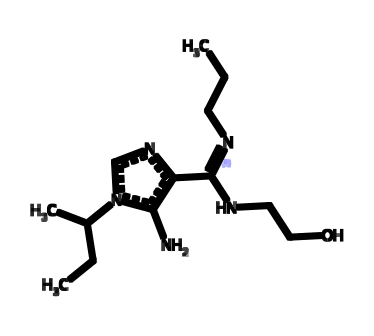 CCC/N=C(/NCCO)c1ncn(C(C)CC)c1N